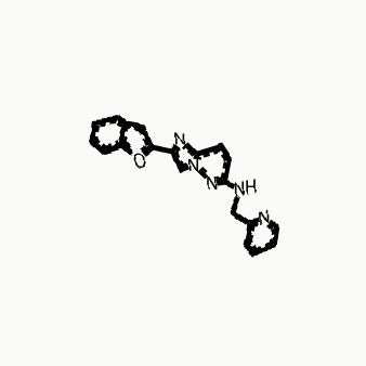 c1ccc(CNc2ccc3nc(-c4cc5ccccc5o4)cn3n2)nc1